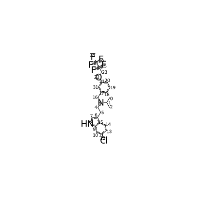 CC(C)N(CCc1c[nH]c2cc(Cl)ccc12)Cc1cccc(OCC(F)(F)C(F)(F)F)c1